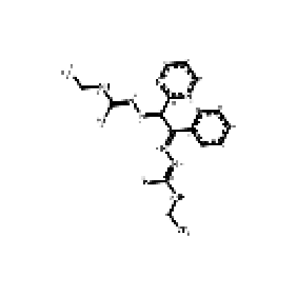 FC(F)(F)CN/C(S)=N/N=C(/C(=N/N=C(\S)NCC(F)(F)F)c1ccccc1)c1ncccn1